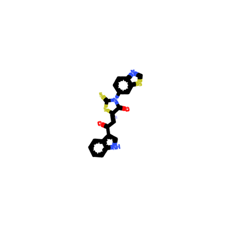 O=C(/C=C1\SC(=S)N(c2ccc3ncsc3c2)C1=O)c1c[nH]c2ccccc12